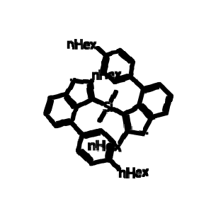 CCCCCCC1=C([Si](C)(C)C2=C(CCCCCC)[CH]c3cccc(-c4ccc(CCCCCC)cc4)c32)c2c(cccc2-c2ccc(CCCCCC)cc2)[CH]1